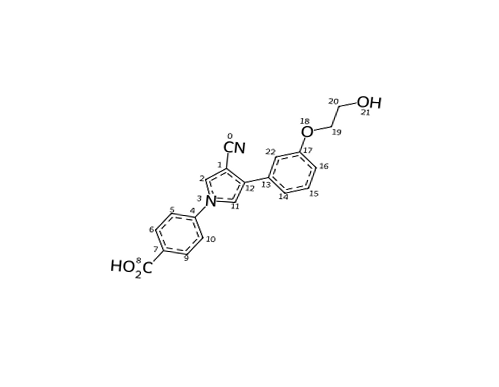 N#Cc1cn(-c2ccc(C(=O)O)cc2)cc1-c1cccc(OCCO)c1